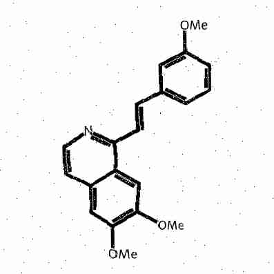 COc1cccc(/C=C/c2nccc3cc(OC)c(OC)cc23)c1